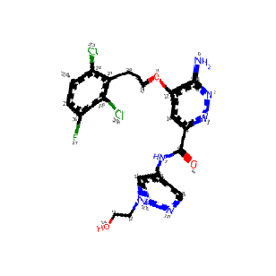 Nc1nnc(C(=O)Nc2cnn(CCO)c2)cc1OCCc1c(Cl)ccc(F)c1Cl